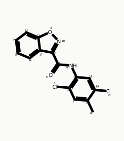 Cc1cc(Cl)c(NC(=O)c2noc3ccccc23)cc1Cl